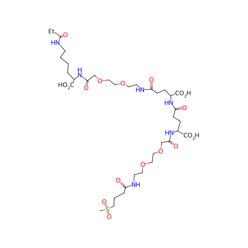 CCC(=O)NCCCCC(NC(=O)COCCOCCNC(=O)CCC(NC(=O)CCC(NC(=O)COCCOCCNC(=O)CCCS(C)(=O)=O)C(=O)O)C(=O)O)C(=O)O